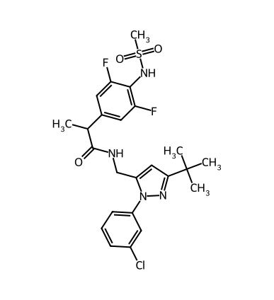 CC(C(=O)NCc1cc(C(C)(C)C)nn1-c1cccc(Cl)c1)c1cc(F)c(NS(C)(=O)=O)c(F)c1